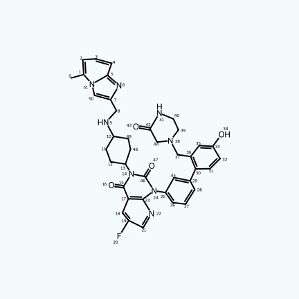 Cc1cccc2nc(CNC3CCC(n4c(=O)c5cc(F)cnc5n(-c5cccc(-c6ccc(O)cc6CN6CCNC(=O)C6)c5)c4=O)CC3)cn12